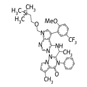 COc1ccc(C(F)(F)F)cc1-c1cn(COCC[Si](C)(C)C)c2ncnc(NC(C)c3nn4ccc(C)c4c(=O)n3-c3ccccc3)c12